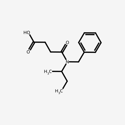 CCC(C)N(Cc1ccccc1)C(=O)CCC(=O)O